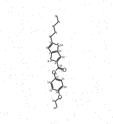 CCCCCc1cc2sc(C(=O)Oc3ccc(OCC)cc3)cc2s1